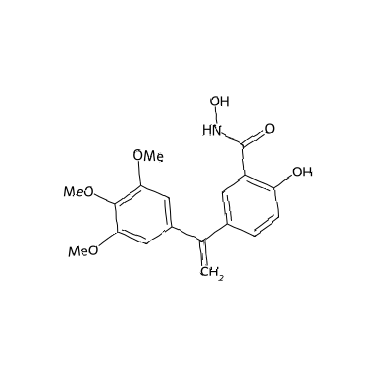 C=C(c1cc(OC)c(OC)c(OC)c1)c1ccc(O)c(C(=O)NO)c1